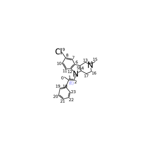 C/C(=C\n1c2c(c3cc(Cl)ccc31)CN(C)CC2)c1ccccc1